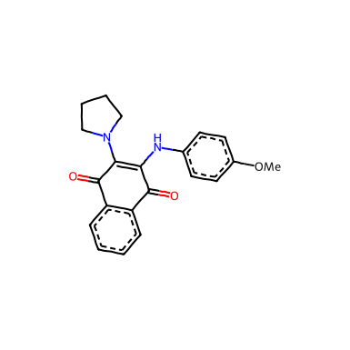 COc1ccc(NC2=C(N3CCCC3)C(=O)c3ccccc3C2=O)cc1